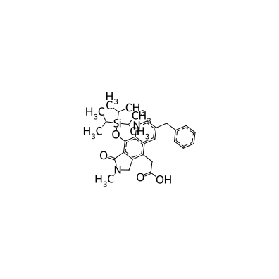 CC(C)[Si](Oc1c2c(c(CC(=O)O)c3cc(Cc4ccccc4)cnc13)CN(C)C2=O)(C(C)C)C(C)C